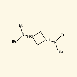 CCC(C)N(CC)[SiH]1C[SiH](N(CC)C(C)CC)C1